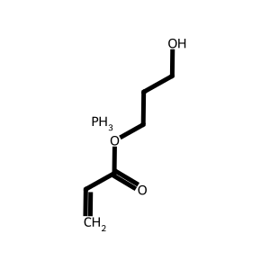 C=CC(=O)OCCCO.P